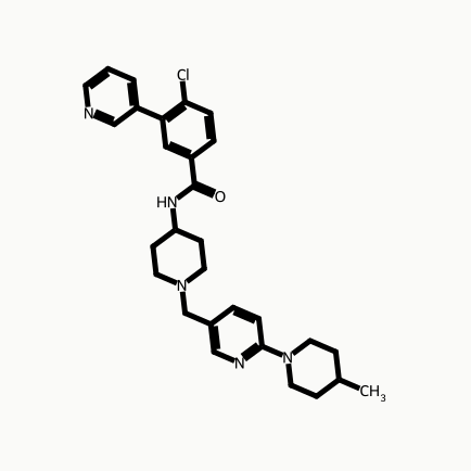 CC1CCN(c2ccc(CN3CCC(NC(=O)c4ccc(Cl)c(-c5cccnc5)c4)CC3)cn2)CC1